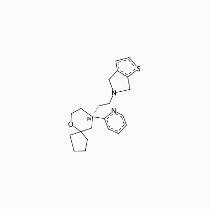 c1ccc([C@]2(CCN3Cc4ccsc4C3)CCOC3(CCCC3)C2)nc1